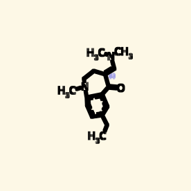 CCc1ccc2c(c1)C(=O)/C(=C/N(C)C)CCN2C